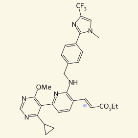 CCOC(=O)/C=C/c1ccc(-c2c(OC)ncnc2C2CC2)nc1NCc1ccc(-c2nc(C(F)(F)F)cn2C)cc1